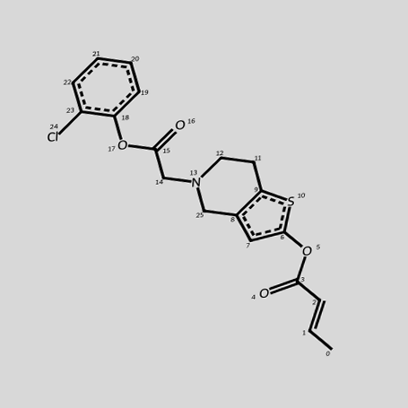 C/C=C/C(=O)Oc1cc2c(s1)CCN(CC(=O)Oc1ccccc1Cl)C2